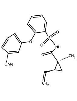 C=C[C@@H]1C[C@]1(C)C(=O)NS(=O)(=O)c1ccccc1Oc1cccc(OC)c1